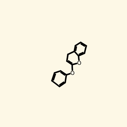 C1=C(Oc2ccccc2)Oc2ccccc2C1